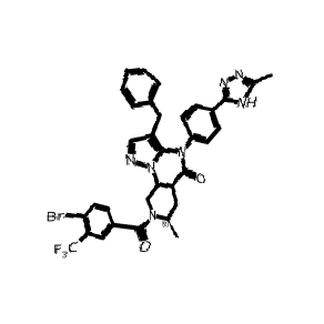 Cc1nnc(-c2ccc(N3C(=O)C4C[C@@H](C)N(C(=O)c5ccc(Br)c(C(F)(F)F)c5)CC4n4ncc(Cc5ccccc5)c43)cc2)[nH]1